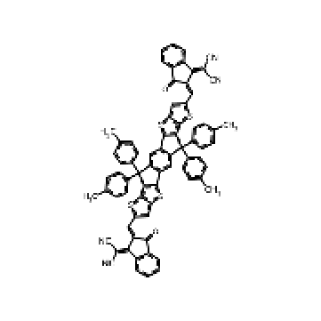 Cc1ccc(C2(c3ccc(C)cc3)c3cc4c(cc3-c3sc5cc(/C=C6\C(=O)c7ccccc7C6=C(C#N)C#N)sc5c32)C(c2ccc(C)cc2)(c2ccc(C)cc2)c2c-4sc3cc(/C=C4\C(=O)c5ccccc5C4=C(C#N)C#N)sc23)cc1